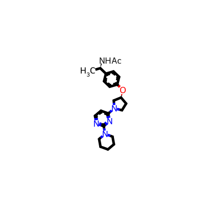 CC(=O)N[C@@H](C)c1ccc(O[C@@H]2CCN(c3ccnc(N4CCCCC4)n3)C2)cc1